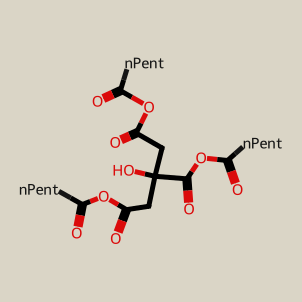 CCCCCC(=O)OC(=O)CC(O)(CC(=O)OC(=O)CCCCC)C(=O)OC(=O)CCCCC